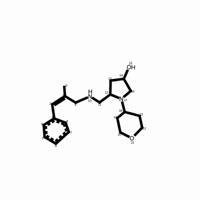 CC(=Cc1ccccc1)CNCC1CC(O)CN1C1CCOCC1